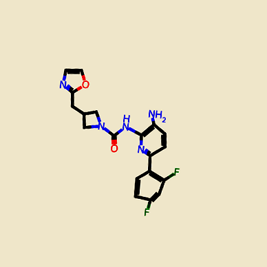 Nc1ccc(-c2ccc(F)cc2F)nc1NC(=O)N1CC(Cc2ncco2)C1